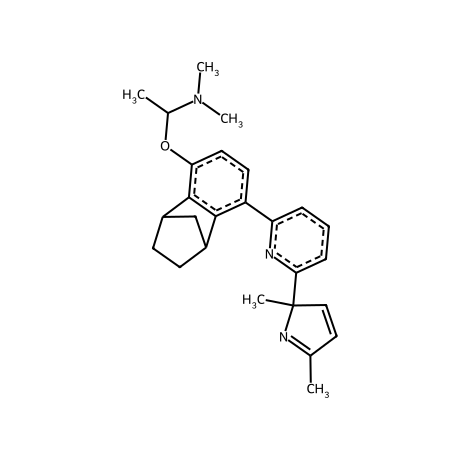 CC1=NC(C)(c2cccc(-c3ccc(OC(C)N(C)C)c4c3C3CCC4C3)n2)C=C1